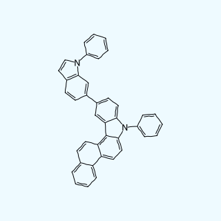 c1ccc(-n2ccc3ccc(-c4ccc5c(c4)c4c6ccc7ccccc7c6ccc4n5-c4ccccc4)cc32)cc1